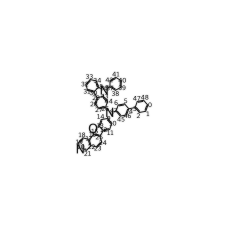 c1ccc(-c2ccc(N(c3ccc4c(c3)oc3c5ccncc5ccc43)c3ccc4c5ccccc5n(-c5ccccc5)c4c3)cc2)cc1